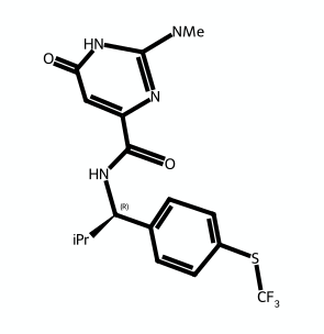 CNc1nc(C(=O)N[C@@H](c2ccc(SC(F)(F)F)cc2)C(C)C)cc(=O)[nH]1